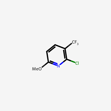 COc1ccc(C(F)(F)F)c(Cl)n1